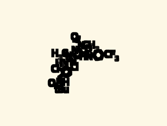 CN(c1nc2c(cc1C(=O)NC1CCC(C(F)(F)F)CC1)nc(Nc1c(Cl)ccc(CNC(=O)C(C)(C)C)c1Cl)n2C)C1COC1